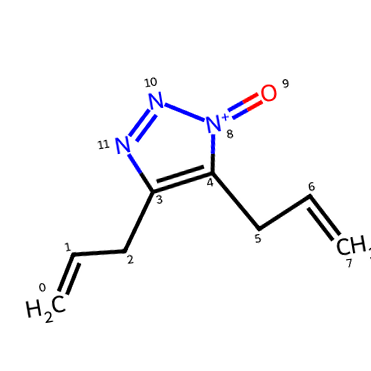 C=CCC1=C(CC=C)[N+](=O)N=N1